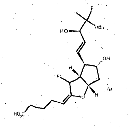 CCCCC(C)(F)[C@H](O)C=C[C@@H]1[C@H]2C(F)C(=CCCCC(=O)O)O[C@H]2C[C@H]1O.[Na]